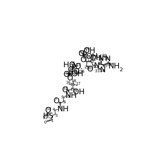 C=C[SH](CCNC(=O)CCNC(=O)C(O)C(C)(C)COP(=O)(O)OP(=O)(O)OC[C@H]1O[C@@H](n2cnc3c(N)ncnc32)[C@H](O)[C@@H]1OP(=O)(O)O)C(C)=O